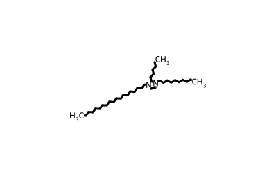 CCCCCCCCCCCCCCCCCCCN1C=CN(CCCCCCCCCC)C1CCCCCC